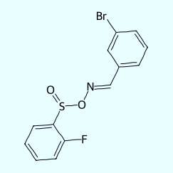 O=S(O/N=C/c1cccc(Br)c1)c1ccccc1F